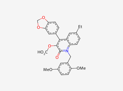 CCc1ccc2c(c1)c(-c1ccc3c(c1)OCO3)c(OC(=O)O)c(=O)n2Cc1cc(OC)ccc1OC